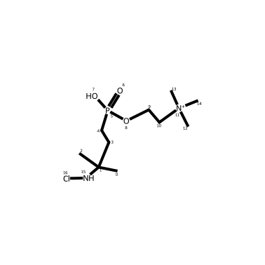 CC(C)(CCP(=O)(O)OCC[N+](C)(C)C)NCl